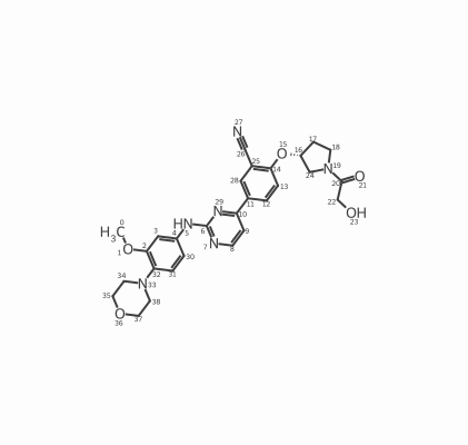 COc1cc(Nc2nccc(-c3ccc(O[C@@H]4CCN(C(=O)CO)C4)c(C#N)c3)n2)ccc1N1CCOCC1